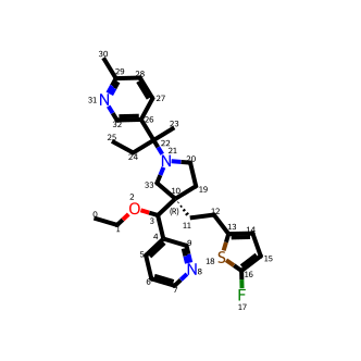 CCOC(c1cccnc1)[C@]1(CCc2ccc(F)s2)CCN(C(C)(CC)c2ccc(C)nc2)C1